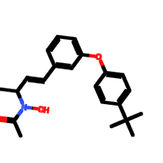 CC(=O)N(O)C(C)C=Cc1cccc(Oc2ccc(C(C)(C)C)cc2)c1